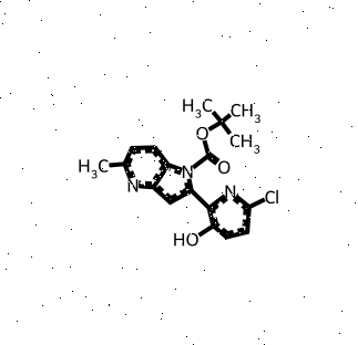 Cc1ccc2c(cc(-c3nc(Cl)ccc3O)n2C(=O)OC(C)(C)C)n1